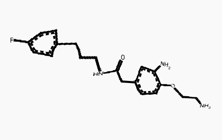 NCCOc1ccc(CC(=O)NCCCc2ccc(F)cc2)cc1N